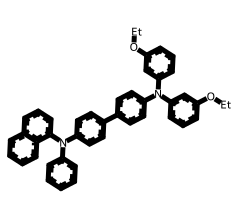 CCOc1cccc(N(c2ccc(-c3ccc(N(c4ccccc4)c4cccc5ccccc45)cc3)cc2)c2cccc(OCC)c2)c1